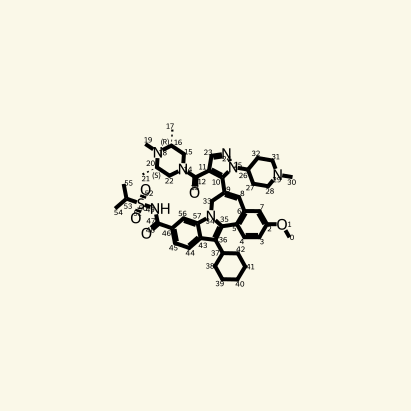 COc1ccc2c(c1)C=C(c1c(C(=O)N3C[C@@H](C)N(C)[C@@H](C)C3)cnn1C1CCN(C)CC1)Cn1c-2c(C2CCCCC2)c2ccc(C(=O)NS(=O)(=O)C(C)C)cc21